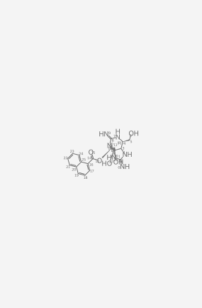 N=C1NC2[C@H](CO)NC(=N)N3C[C@H](OC(=O)c4cccc5ccccc45)C(O)(O)[C@]23N1